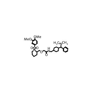 COc1ccc(S(=O)(=O)N2CCCCC2COCC(=O)NCC2CCC(C(c3ccccc3)N(C)C)CC2)cc1OC